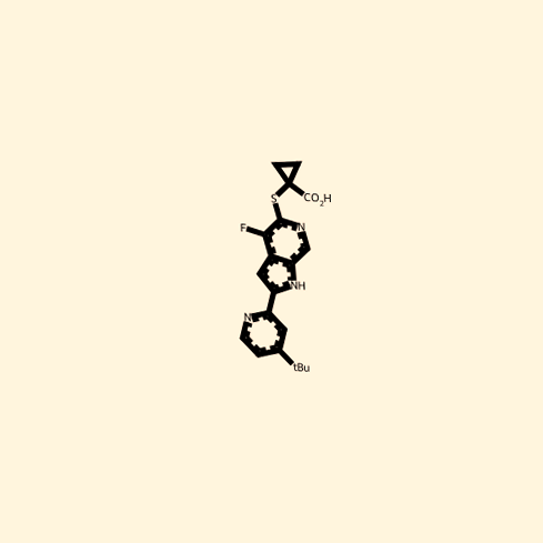 CC(C)(C)c1ccnc(-c2cc3c(F)c(SC4(C(=O)O)CC4)ncc3[nH]2)c1